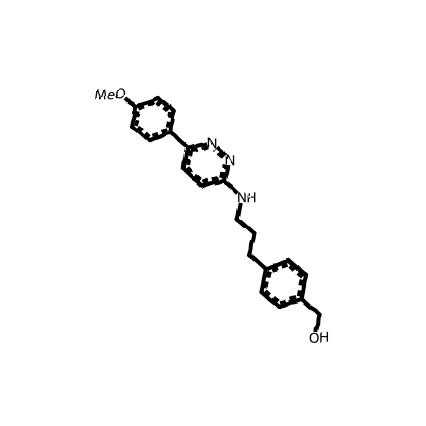 COc1ccc(-c2ccc(NCCCc3ccc(CO)cc3)nn2)cc1